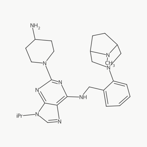 CC(C)n1cnc2c(NCc3ccccc3N3CC4CCC(C3)N4C)nc(N3CCC(N)CC3)nc21